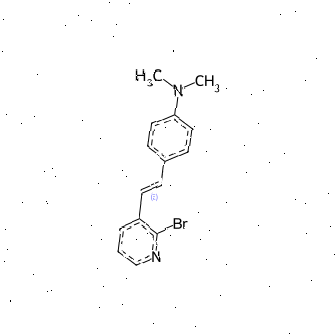 CN(C)c1ccc(/C=C/c2cccnc2Br)cc1